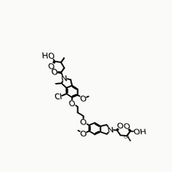 COc1cc2c(cc1OCCCOc1c(OC)cc3c(c1Cl)C(C)N(C(=O)CC(C)C(=O)O)C3)CN(C(=O)C[C@H](C)C(=O)O)C2